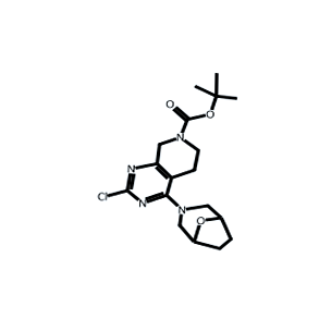 CC(C)(C)OC(=O)N1CCc2c(nc(Cl)nc2N2CC3CCC(C2)O3)C1